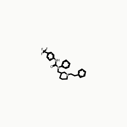 O=C(Nc1ccc(C(F)(F)F)cc1)N(CC1CCCN(CCc2ccccc2)C1)c1ccccc1